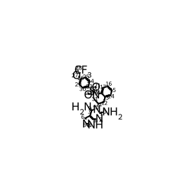 NC1=Nc2[nH]ncc2C(N)N1C1Cc2ccccc2N(S(=O)(=O)c2ccc(OC(F)(F)F)cc2)C1